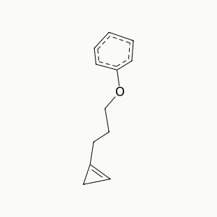 C1=C(CCCOc2ccccc2)C1